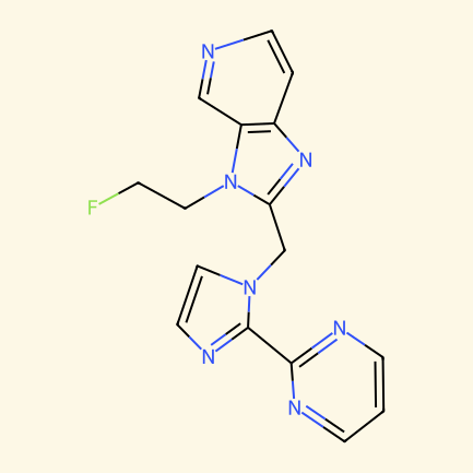 FCCn1c(Cn2ccnc2-c2ncccn2)nc2ccncc21